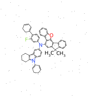 CC1(C)c2ccccc2-c2c1cc(N(c1ccc(C3=CC=CCC3)c(F)c1)c1ccc3c(c1)c1c(n3C3=CCCC=C3)CCCC1)c1c2oc2ccccc21